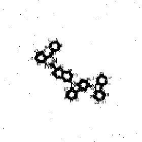 c1ccc(-c2nc(-c3ccc4cc(-n5c6ccccc6c6cc(-n7c8ccccc8c8ccccc87)ccc65)ccc4c3)nc3ccccc23)cc1